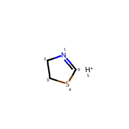 C1=NCCS1.[H+]